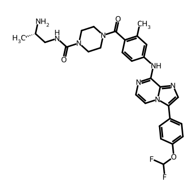 Cc1cc(Nc2nccn3c(-c4ccc(OC(F)F)cc4)cnc23)ccc1C(=O)N1CCN(C(=O)NC[C@H](C)N)CC1